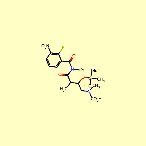 CC(C(=O)N(C(=O)c1cccc([N+](=O)[O-])c1F)C(C)C)C(CN(C)C(=O)O)O[Si](C)(C)C(C)(C)C